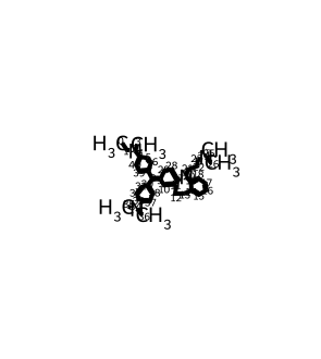 CCN(C)c1ccc(/C(=C2/C=C3CCc4ccccc4N(CCCN(C)C)C3=CC2)c2ccc(N(C)C)cc2)cc1